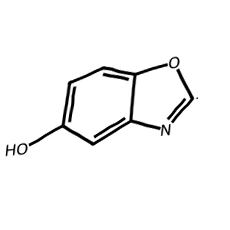 Oc1ccc2o[c]nc2c1